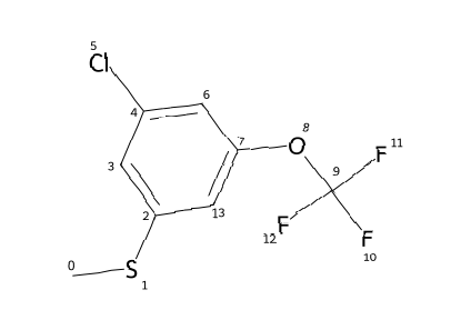 CSc1cc(Cl)cc(OC(F)(F)F)c1